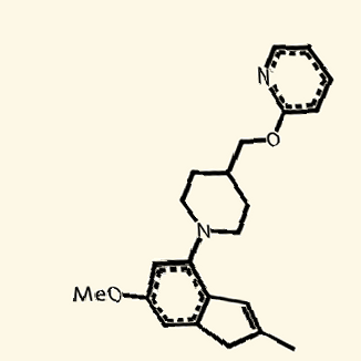 COc1cc2c(c(N3CCC(COc4ccccn4)CC3)c1)C=C(C)C2